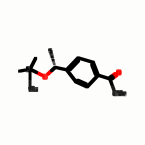 COC(=O)c1ccc([C@@H](C)O[Si](C)(C)C(C)(C)C)cc1